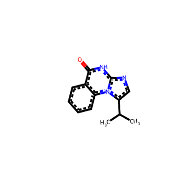 CC(C)c1cnc2[nH]c(=O)c3ccccc3n12